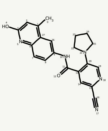 Cc1cc(O)nc2ccc(NC(=O)c3cc(C#N)ncc3N3CCCC3)cc12